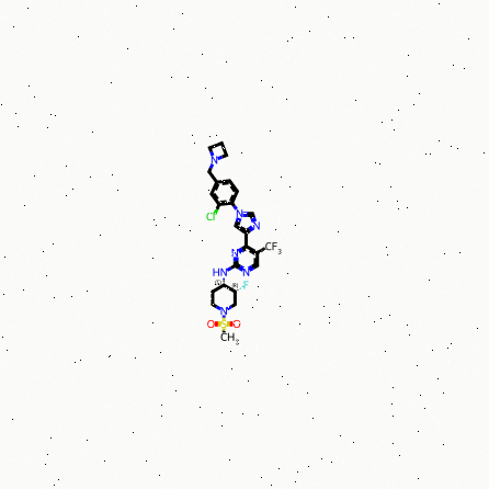 CS(=O)(=O)N1CC[C@H](Nc2ncc(C(F)(F)F)c(-c3cn(-c4ccc(CN5CCC5)cc4Cl)cn3)n2)[C@H](F)C1